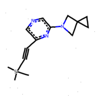 C[Si](C)(C)C#Cc1cncc(N2CC3(CC3)C2)n1